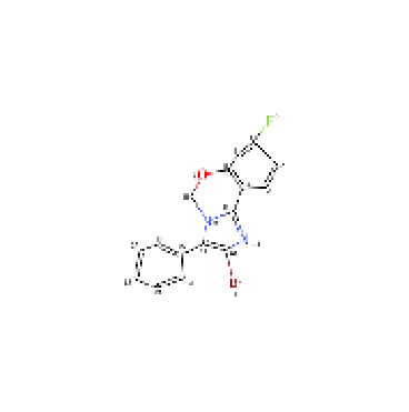 Fc1ccc2c(c1)OCn1c-2nc(Br)c1-c1ccccc1